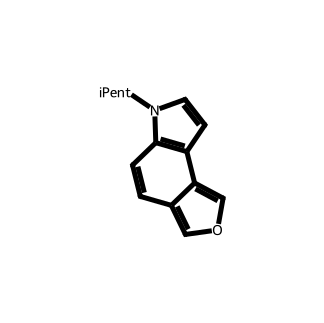 CCCC(C)n1ccc2c3cocc3ccc21